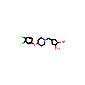 OC1CC(CN2CCC(Oc3ccc(Cl)c(Cl)c3)CC2)CC1O